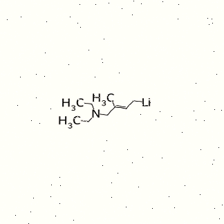 [Li][CH2]/C=C(\C)CN(CC)CC